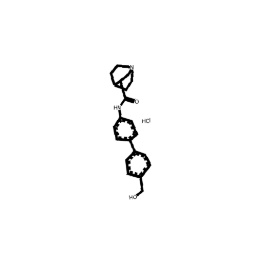 Cl.O=C(Nc1ccc(-c2ccc(CO)cc2)cc1)C1CN2CCC1CC2